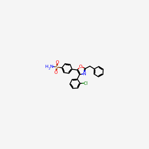 NS(=O)(=O)c1ccc(-c2oc(Cc3ccccc3)nc2-c2ccccc2Cl)cc1